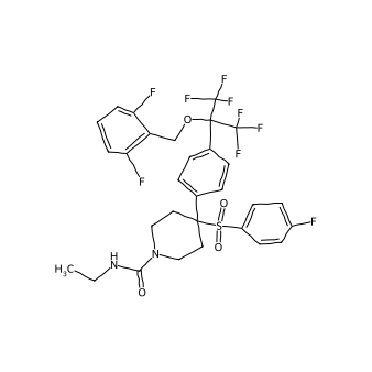 CCNC(=O)N1CCC(c2ccc(C(OCc3c(F)cccc3F)(C(F)(F)F)C(F)(F)F)cc2)(S(=O)(=O)c2ccc(F)cc2)CC1